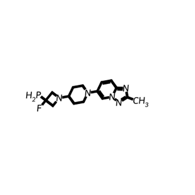 Cc1nc2ccc(N3CCC(N4CC(F)(P)C4)CC3)cn2n1